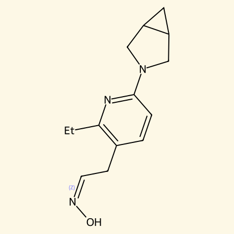 CCc1nc(N2CC3CC3C2)ccc1C/C=N\O